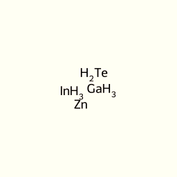 [GaH3].[InH3].[TeH2].[Zn]